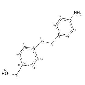 Nc1ccc(CSc2ncc(CO)cn2)cc1